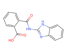 O=C(O)c1ccccc1C(=O)Nc1nc2ccccc2[nH]1